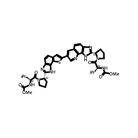 COC(=O)N[C@H](C(=O)N1CCC[C@H]1c1nc2ccc3cc(-c4cc5ccc6nc([C@@H]7CCCN7C(=O)[C@@H](NC(=O)OC)C(C)C)[nH]c6c5s4)cnc3c2[nH]1)C(C)C